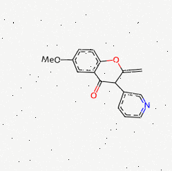 C=C1Oc2ccc(OC)cc2C(=O)C1c1cccnc1